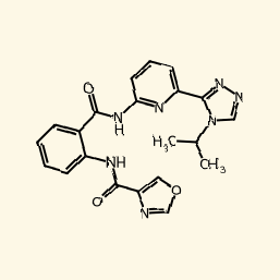 CC(C)n1cnnc1-c1cccc(NC(=O)c2ccccc2NC(=O)c2cocn2)n1